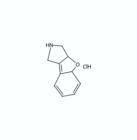 C1=CC2=C3CNCC3OC2C=C1.Cl